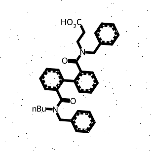 CCCCN(Cc1ccccc1)C(=O)c1ccccc1-c1ccccc1C(=O)N(CCC(=O)O)Cc1ccccc1